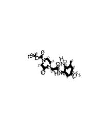 Cc1cc(C(F)(F)F)cc(NC(=O)CN2CCN(C(=O)OC(C)(C)C)CC2=O)c1N